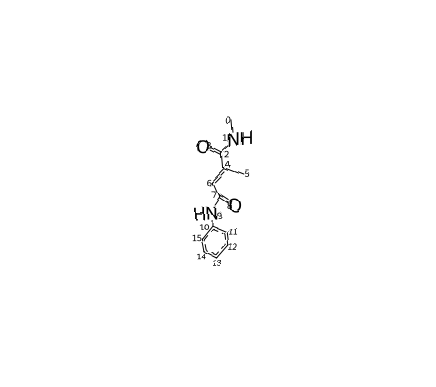 CNC(=O)/C(C)=C/C(=O)Nc1ccccc1